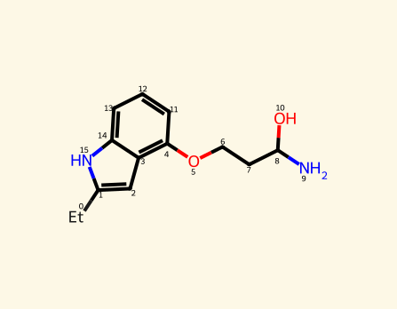 CCc1cc2c(OCCC(N)O)cccc2[nH]1